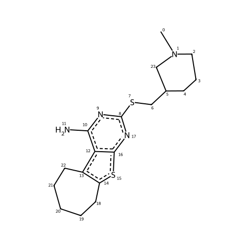 CN1CCCC(CSc2nc(N)c3c4c(sc3n2)CCCCC4)C1